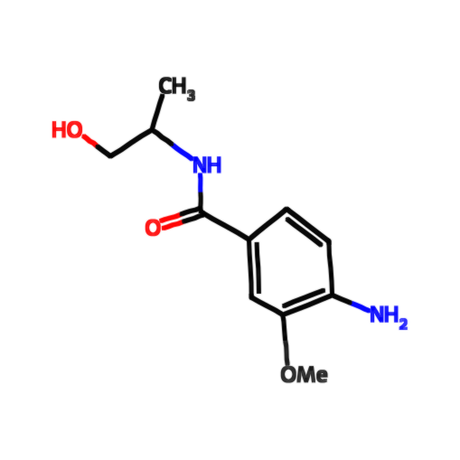 COc1cc(C(=O)NC(C)CO)ccc1N